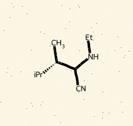 CCNC(C#N)[C@@H](C)C(C)C